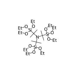 CCO[Si](OCC)(OCC)C(C)(C)N(C(C)(C)[Si](OCC)(OCC)OCC)C(C)(C)[Si](OCC)(OCC)OCC